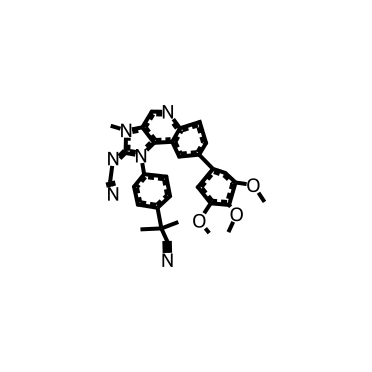 COc1cc(-c2ccc3ncc4c(c3c2)n(-c2ccc(C(C)(C)C#N)cc2)/c(=N\C#N)n4C)cc(OC)c1OC